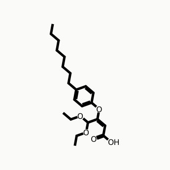 CCCCCCCCc1ccc(OC(=CC(=O)O)C(OCC)OCC)cc1